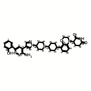 Nc1nnc(-c2ccccc2O)cc1-c1cnn(C2CCN(C3CCC(c4cccc5c4OCCN5C4CCC(=O)NC4=O)CC3)CC2)c1